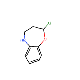 ClC1CCNc2ccccc2O1